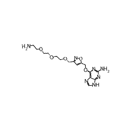 NCCOCCOCCOCc1cc(COc2nc(N)nc3[nH]cnc23)on1